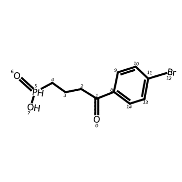 O=C(CCC[PH](=O)O)c1ccc(Br)cc1